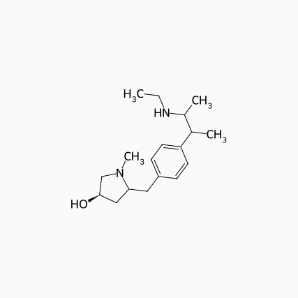 CCNC(C)C(C)c1ccc(CC2C[C@@H](O)CN2C)cc1